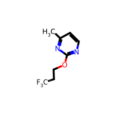 Cc1ccnc(OCCC(F)(F)F)n1